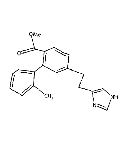 COC(=O)c1ccc(CCc2c[nH]cn2)cc1-c1ccccc1C